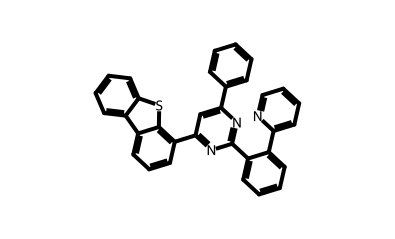 c1ccc(-c2cc(-c3cccc4c3sc3ccccc34)nc(-c3ccccc3-c3ccccn3)n2)cc1